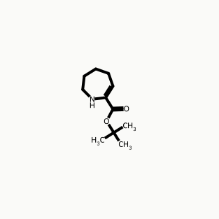 CC(C)(C)OC(=O)C1=CCCCCN1